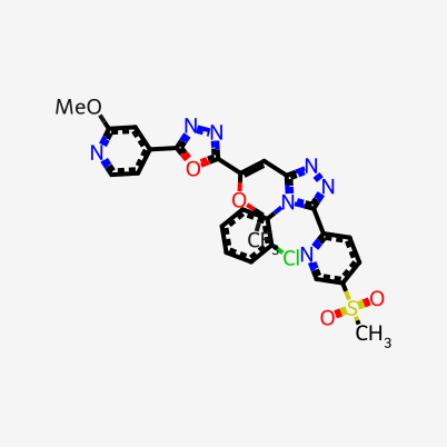 COc1cc(-c2nnc(/C(=C/c3nnc(-c4ccc(S(C)(=O)=O)cn4)n3-c3ccccc3Cl)OCC(F)(F)F)o2)ccn1